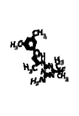 Cc1cc(C)cc(OCC(C)Nc2nc(N)nc(C(C)(C)F)n2)c1